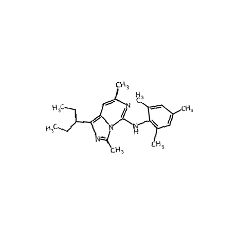 CCC(CC)c1nc(C)n2c(Nc3c(C)cc(C)cc3C)nc(C)cc12